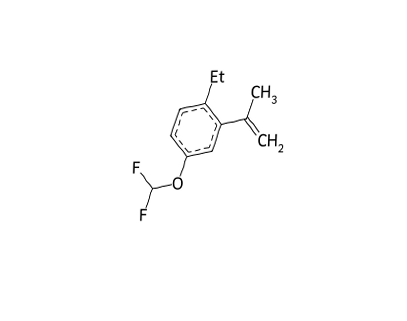 C=C(C)c1cc(OC(F)F)ccc1CC